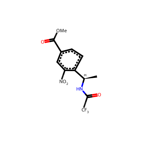 COC(=O)c1ccc([C@@H](C)NC(=O)C(F)(F)F)c([N+](=O)[O-])c1